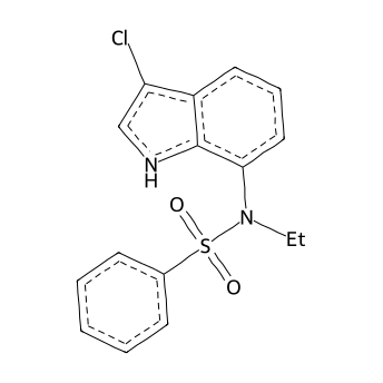 CCN(c1cccc2c(Cl)c[nH]c12)S(=O)(=O)c1ccccc1